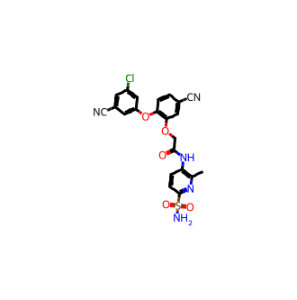 Cc1nc(S(N)(=O)=O)ccc1NC(=O)COc1cc(C#N)ccc1Oc1cc(Cl)cc(C#N)c1